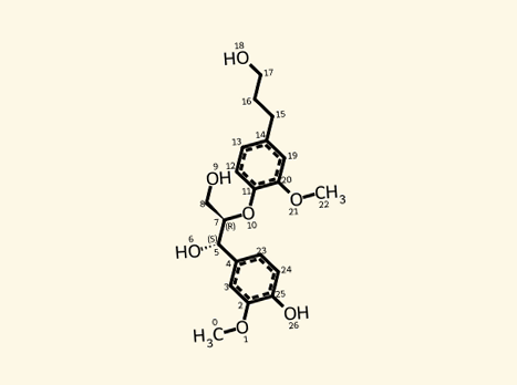 COc1cc([C@H](O)[C@@H](CO)Oc2ccc(CCCO)cc2OC)ccc1O